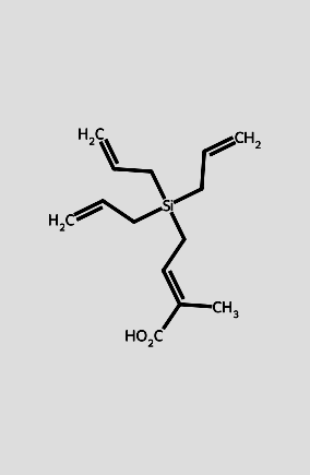 C=CC[Si](CC=C)(CC=C)CC=C(C)C(=O)O